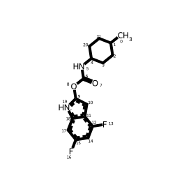 CC1CCC(NC(=O)Oc2cc3c(F)cc(F)cc3[nH]2)CC1